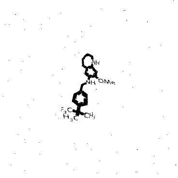 COc1cc2c(cc1NCc1ccc(C(C)(C)C(F)(F)F)cc1)CCCCN2